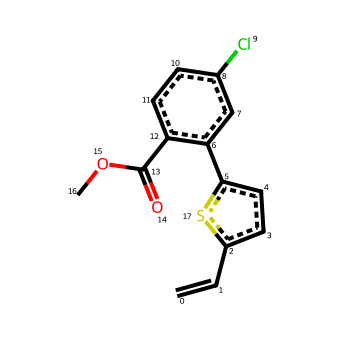 C=Cc1ccc(-c2cc(Cl)ccc2C(=O)OC)s1